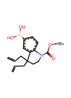 C=CCC1(CC=C)CCN(C(=O)OC(C)(C)C)c2ccc(B(O)O)cc21